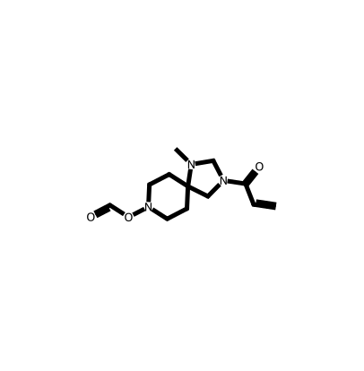 C=CC(=O)N1CN(C)C2(CCN(OC=O)CC2)C1